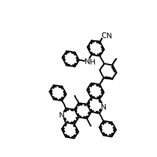 CC1=CC=C(c2ccc3c(c2)nc(-c2ccccc2)c2c(C)c4c(c(-c5ccccc5)nc5ccccc54)c(C)c23)CC1c1cc(C#N)ccc1Nc1ccccc1